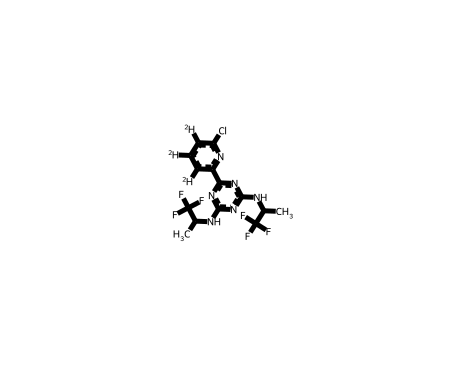 [2H]c1c(Cl)nc(-c2nc(NC(C)C(F)(F)F)nc(NC(C)C(F)(F)F)n2)c([2H])c1[2H]